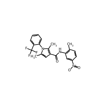 Cc1ccc([N+](=O)[O-])cc1NC(=O)c1cc(C)n(-c2ccccc2C(F)(F)F)c1C